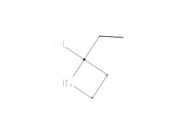 [2H]C1(CF)CCN1